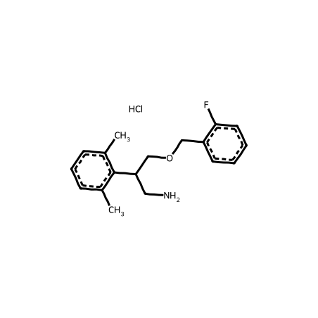 Cc1cccc(C)c1C(CN)COCc1ccccc1F.Cl